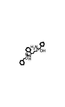 NN(CCCC(NC(=O)OCc1ccccc1)c1ccccc1)C(O)c1ccccc1